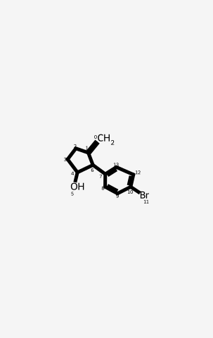 C=C1CCC(O)C1c1ccc(Br)cc1